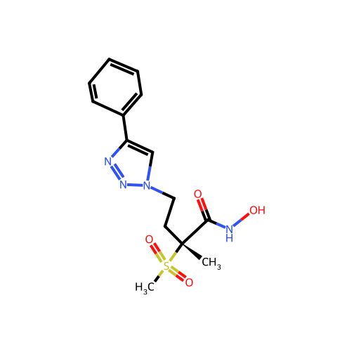 C[C@@](CCn1cc(-c2ccccc2)nn1)(C(=O)NO)S(C)(=O)=O